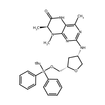 Cc1nc(N[C@@H]2CO[C@H](CO[Si](c3ccccc3)(c3ccccc3)C(C)(C)C)C2)nc2c1NC(=O)[C@H](C)N2C